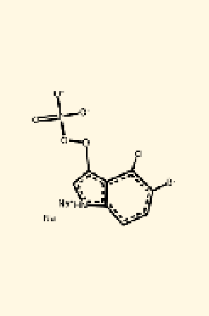 O=P([O-])([O-])OOc1c[nH]c2ccc(Br)c(Cl)c12.[Na+].[Na+]